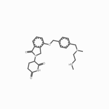 CNCCN(C)Cc1ccc(COc2cccc3c2CN(C2CCC(=O)NC2=O)C3=O)cc1